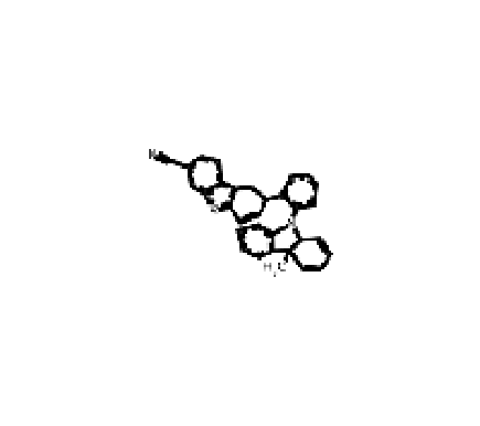 CC12C=CC=CC1N(c1ccccc1C1C=Cc3sc4cc(C#N)ccc4c3C1)c1ccccc12